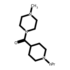 CCCN1CCC(C(=O)N2CCN(C)CC2)CC1